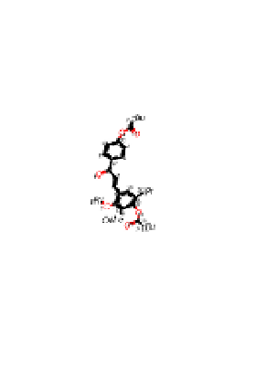 COc1c(OC(C)C)c(C=CC(=O)c2ccc(OC(=O)C(C)(C)C)cc2)cc(C(C)C)c1OC(=O)C(C)(C)C